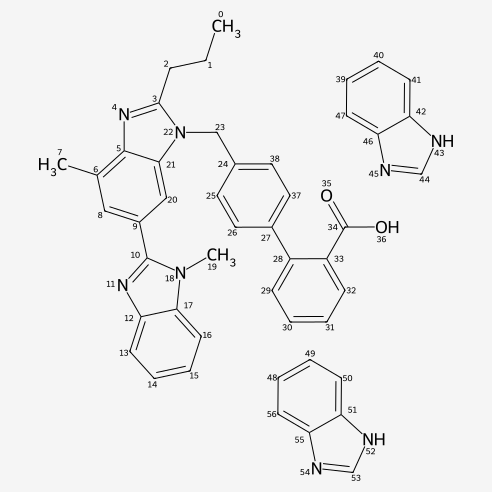 CCCc1nc2c(C)cc(-c3nc4ccccc4n3C)cc2n1Cc1ccc(-c2ccccc2C(=O)O)cc1.c1ccc2[nH]cnc2c1.c1ccc2[nH]cnc2c1